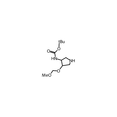 COCOC1CNCC1NC(=O)OC(C)(C)C